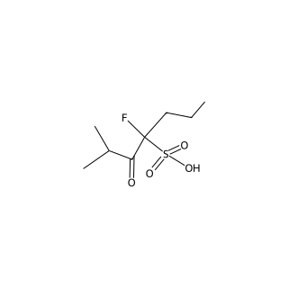 CCCC(F)(C(=O)C(C)C)S(=O)(=O)O